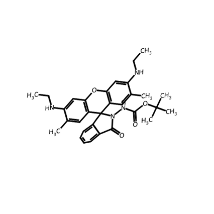 CCNc1cc2c(cc1C)C1(c3cc(C)c(NCC)cc3O2)c2ccccc2C(=O)N1NC(=O)OC(C)(C)C